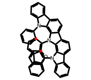 c1ccc(-n2c3ccccc3c3ccc4c5ccc6c7ccccc7n(-c7ccccc7)c6c5n(-c5cccc6c5oc5ccccc56)c4c32)cc1